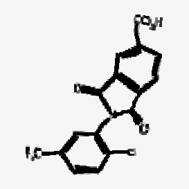 O=C(O)c1ccc2c(c1)C(=O)N(c1cc(C(F)(F)F)ccc1Cl)C2=O